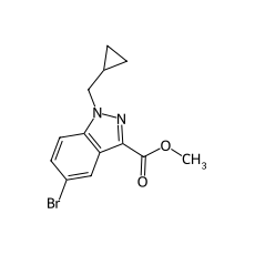 COC(=O)c1nn(CC2CC2)c2ccc(Br)cc12